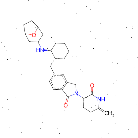 C=C1CCC(N2Cc3cc(C[C@H]4CCCC[C@@H]4NC4CC5CCC(C4)O5)ccc3C2=O)C(=O)N1